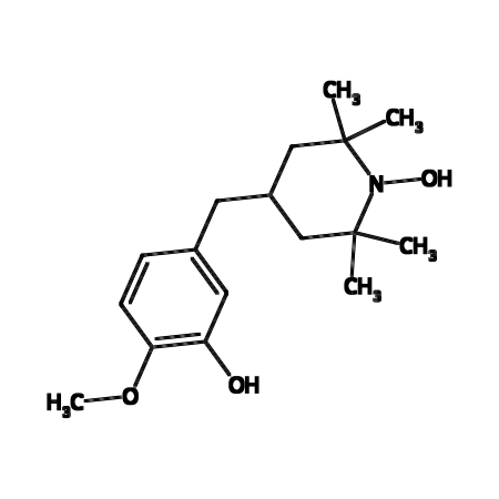 COc1ccc(CC2CC(C)(C)N(O)C(C)(C)C2)cc1O